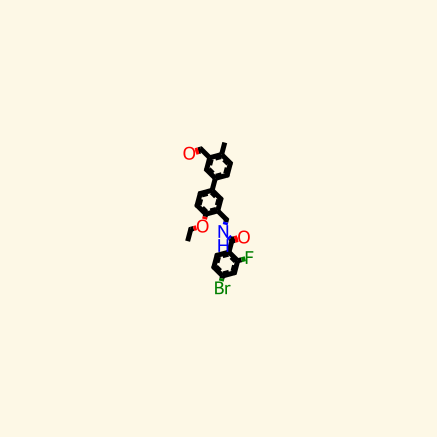 CCOc1ccc(-c2ccc(C)c(C=O)c2)cc1CNC(=O)c1ccc(Br)cc1F